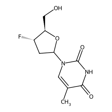 Cc1cn(C2C[C@H](F)[C@@H](CO)O2)c(=O)[nH]c1=O